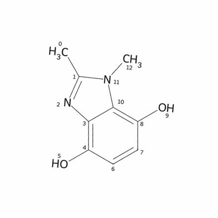 Cc1nc2c(O)ccc(O)c2n1C